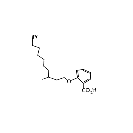 CC(C)CCCCCCC(C)CCOc1ccccc1C(=O)O